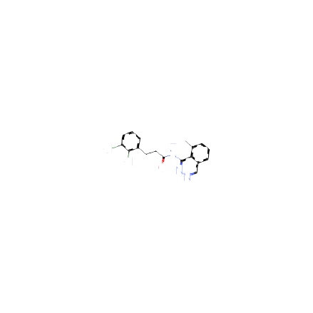 Cc1cccc2cnnc(NC(=O)CCc3cccc(Cl)c3Cl)c12